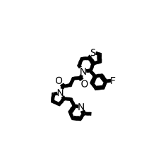 Cc1cccc(CC2CCCN2C(=O)CCC(=O)N2CCc3sccc3C2c2cccc(F)c2)n1